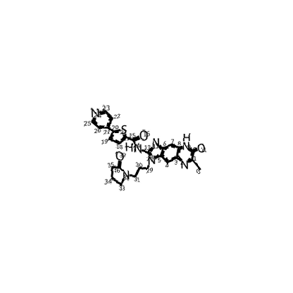 Cc1nc2cc3c(cc2[nH]c1=O)nc(NC(=O)c1ccc(-c2ccncc2)s1)n3CCCN1CCCC1=O